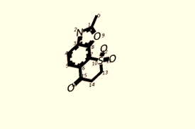 Cc1nc2ccc3c(c2o1)S(=O)(=O)CCC3=O